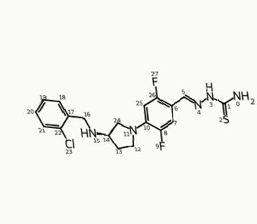 NC(=S)N/N=C/c1cc(F)c(N2CC[C@@H](NCc3ccccc3Cl)C2)cc1F